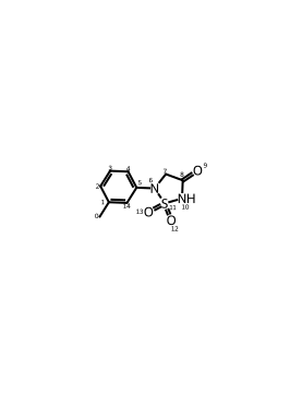 Cc1cccc(N2CC(=O)NS2(=O)=O)c1